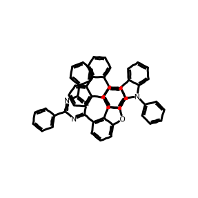 c1ccc(-c2nc(-c3ccccc3)nc(-c3cccc4oc5ccc(-c6ccccc6-c6ccccc6-c6ccc7c(c6)c6ccccc6n7-c6ccccc6)cc5c34)n2)cc1